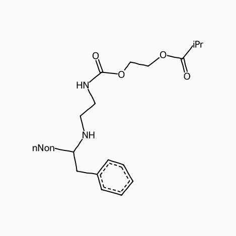 CCCCCCCCCC(Cc1ccccc1)NCCNC(=O)OCCOC(=O)C(C)C